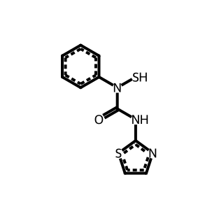 O=C(Nc1nccs1)N(S)c1ccccc1